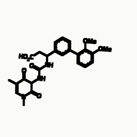 COc1cccc(-c2cccc(C(CC(=O)O)NC(=O)NC3C(=O)C(C)=CN(C)C3=O)c2)c1OC